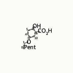 CCCC(C)COc1ccc(O)c(C(=O)O)c1